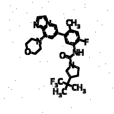 Cc1cc(F)c(NC(=O)N2CCC(C(C)(C)C(F)(F)F)C2)cc1-c1cc(N2CCOCC2)c2nccn2c1